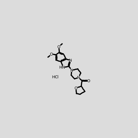 COc1cc2nc(N3CCN(C(=O)C4CCCO4)CC3)[nH]c2cc1OC.Cl